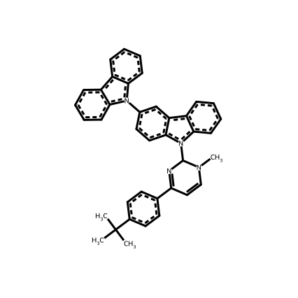 CN1C=CC(c2ccc(C(C)(C)C)cc2)=NC1n1c2ccccc2c2cc(-n3c4ccccc4c4ccccc43)ccc21